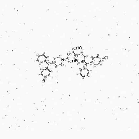 O=CC(OC(C=O)N1CCN(C(c2ccccc2)c2ccc(Cl)cc2)CC1)N1CCN(C(c2ccccc2)c2ccc(Cl)cc2)CC1